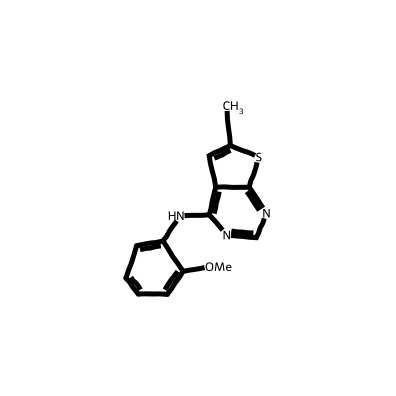 COc1ccccc1Nc1ncnc2sc(C)cc12